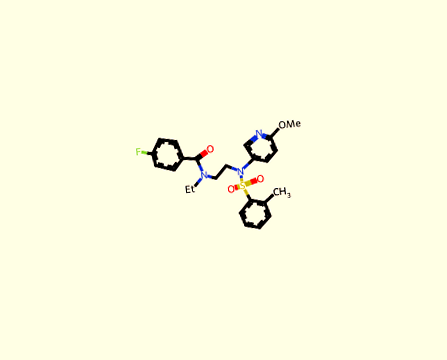 CCN(CCN(c1ccc(OC)nc1)S(=O)(=O)c1ccccc1C)C(=O)c1ccc(F)cc1